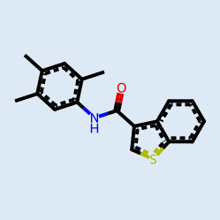 Cc1cc(C)c(NC(=O)c2csc3ccccc23)cc1C